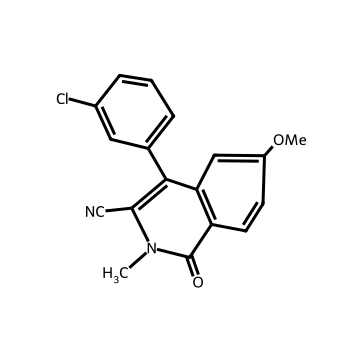 COc1ccc2c(=O)n(C)c(C#N)c(-c3cccc(Cl)c3)c2c1